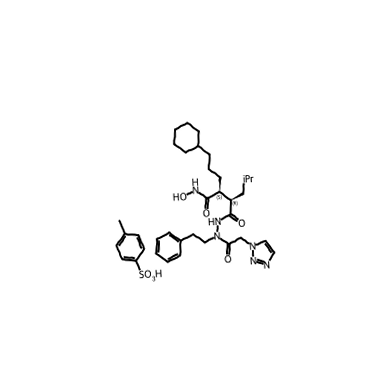 CC(C)C[C@@H](C(=O)NN(CCc1ccccc1)C(=O)Cn1ccnn1)[C@H](CCCC1CCCCC1)C(=O)NO.Cc1ccc(S(=O)(=O)O)cc1